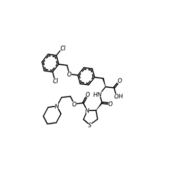 O=C(O)[C@H](Cc1ccc(OCc2c(Cl)cccc2Cl)cc1)NC(=O)[C@H]1CSCN1C(=O)OCCN1CCCCC1